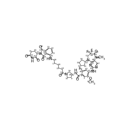 COc1cc(C(=O)N[C@@H]2CCN(C(=O)CCCCCNc3cccc4c3C(=O)N(C3CCC(=O)NC3=O)C4=O)C2)c(F)cc1Nc1ncc2c(n1)N(C1CCCC1)CC(F)(F)C(=O)N2C